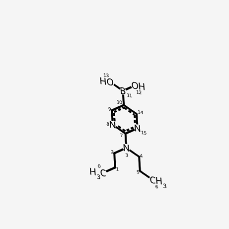 CCCN(CCC)c1ncc(B(O)O)cn1